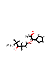 COC(C)(C)C(=O)C(C)(C)CCOC(C(=O)C(C)C)C1CCCC1